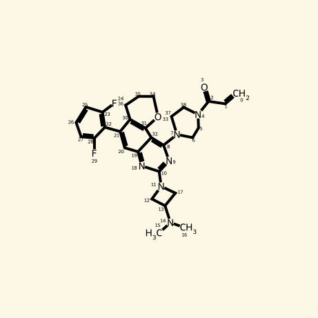 C=CC(=O)N1CCN(c2nc(N3CC(N(C)C)C3)nc3cc(-c4c(F)cccc4F)c4c(c23)OCCC4)CC1